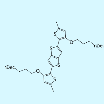 CCCCCCCCCCCCCOc1cc(C)sc1-c1cc2sc(-c3sc(C)cc3OCCCCCCCCCCCCC)cc2s1